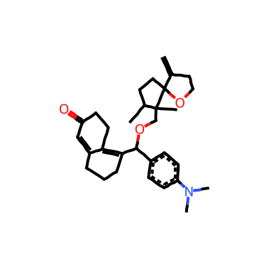 C=C1CCOC12CCC(C)C2(C)COC(C1=C2CCC(=O)C=C2CCC1)c1ccc(N(C)C)cc1